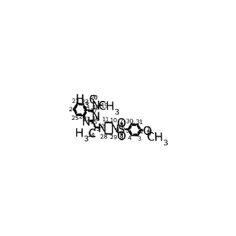 COc1ccc(S(=O)(=O)N2CCN(C(C)c3nc(N(C)C)c4ccccc4n3)CC2)cc1